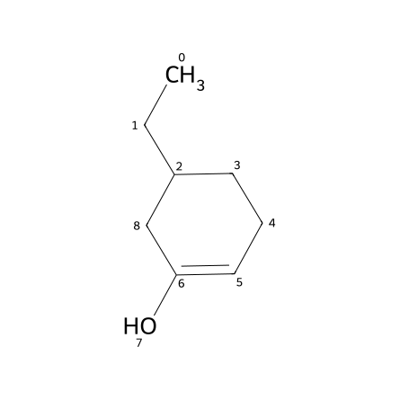 CCC1CCC=C(O)C1